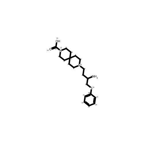 NC(CCN1CCC2(CC1)CCN(C(=O)O)CC2)CSc1ccccc1